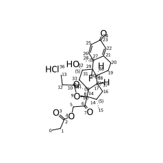 CCC(=O)OCC(=O)[C@@]1(OC(=O)CC)[C@@H](C)C[C@H]2[C@@H]3CCC4=CC(=O)C=C[C@]4(C)C3(F)[C@@H](O)C[C@@]21C.Cl